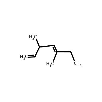 C=CC(C)/C=C(\C)CC